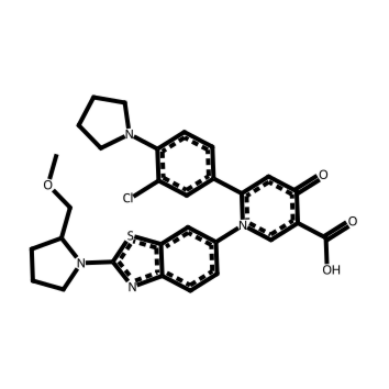 COCC1CCCN1c1nc2ccc(-n3cc(C(=O)O)c(=O)cc3-c3ccc(N4CCCC4)c(Cl)c3)cc2s1